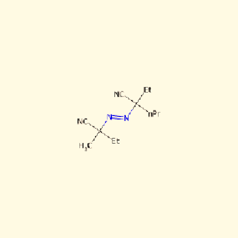 CCCC(C#N)(CC)N=NC(C)(C#N)CC